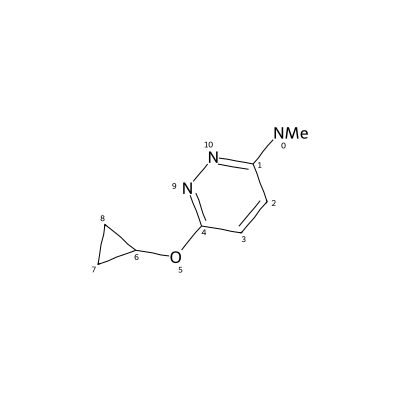 CNc1ccc(OC2CC2)nn1